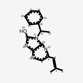 CC(C)=Cc1cnc2nc(O)n(C(C)c3ccccc3)c2n1